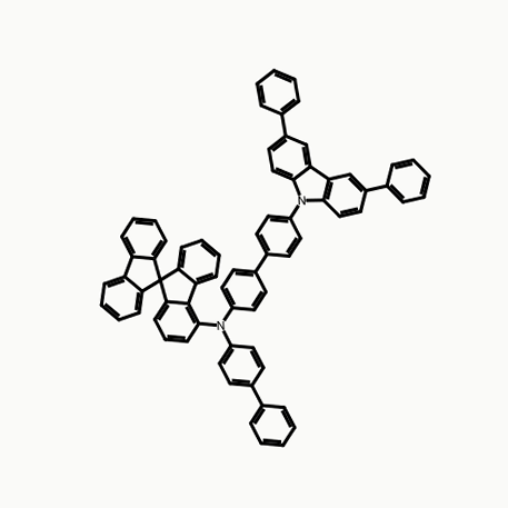 c1ccc(-c2ccc(N(c3ccc(-c4ccc(-n5c6ccc(-c7ccccc7)cc6c6cc(-c7ccccc7)ccc65)cc4)cc3)c3cccc4c3-c3ccccc3C43c4ccccc4-c4ccccc43)cc2)cc1